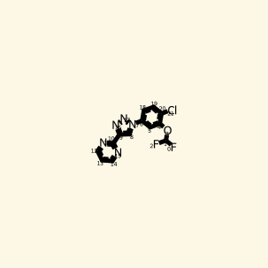 FC(F)Oc1cc(-n2cc(-c3ncccn3)nn2)ccc1Cl